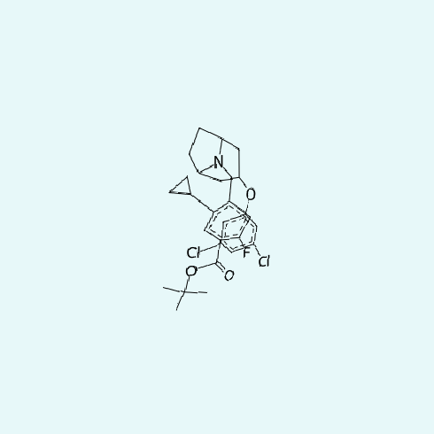 CC(C)(C)OC(=O)c1cc(C2CC2)c(CN2C3CCC2CC(Oc2cc(Cl)cc(Cl)c2)C3)cc1F